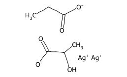 CC(O)C(=O)[O-].CCC(=O)[O-].[Ag+].[Ag+]